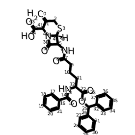 C=C1CS[C@@H]2C(NC(=O)CCCC(NC(=O)c3ccccc3)C(=O)OC(c3ccccc3)c3ccccc3)C(=O)N2C1C(=O)O